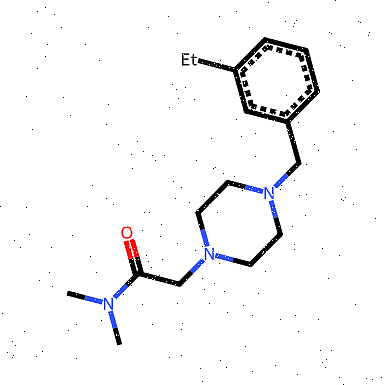 CCc1cccc(CN2CCN(CC(=O)N(C)C)CC2)c1